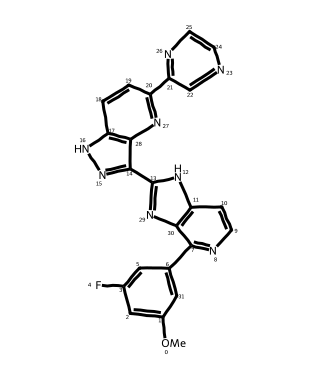 COc1cc(F)cc(-c2nccc3[nH]c(-c4n[nH]c5ccc(-c6cnccn6)nc45)nc23)c1